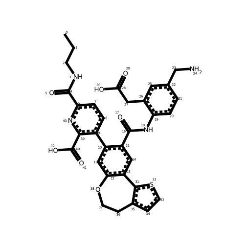 CCCNC(=O)c1ccc(-c2cc3c(cc2C(=O)Nc2ccc(CN)cc2CC(=O)O)-c2sccc2CCO3)c(C(=O)O)n1